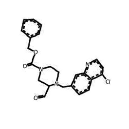 O=CC1CN(C(=O)OCc2ccccc2)CCN1Cc1ccc2c(Cl)ccnc2c1